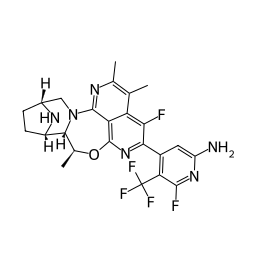 Cc1nc2c3c(nc(-c4cc(N)nc(F)c4C(F)(F)F)c(F)c3c1C)O[C@@H](C)[C@@H]1[C@@H]3CC[C@H](CN21)N3